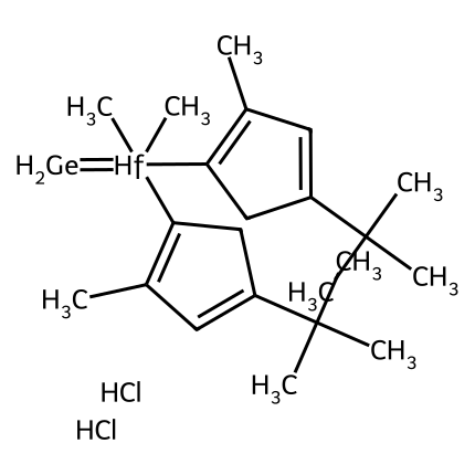 CC1=[C]([Hf]([CH3])([CH3])(=[GeH2])[C]2=C(C)C=C(C(C)(C)C)C2)CC(C(C)(C)C)=C1.Cl.Cl